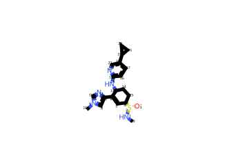 CN[S+]([O-])C1C=C(c2cn(C)cn2)C(Nc2ccc(C3CC3)cn2)CC1